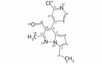 CCc1ccc2c(-c3ccnc(Cl)c3)c(C=O)c(C)nn12